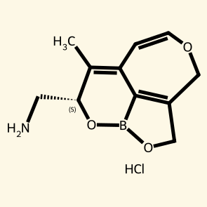 CC1=C2C=COCC3=C2B(OC3)O[C@@H]1CN.Cl